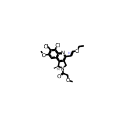 CCO/C=C/c1nc2c(Cl)c(Cl)c(OC)cc2c2c1CN(C(=O)COC)[C@H]2C